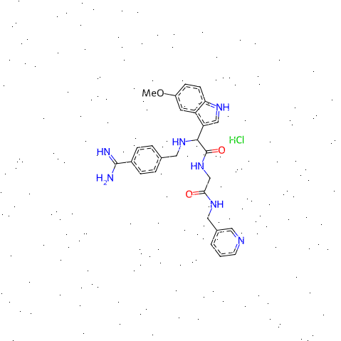 COc1ccc2[nH]cc(C(NCc3ccc(C(=N)N)cc3)C(=O)NCC(=O)NCc3cccnc3)c2c1.Cl